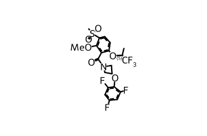 COc1c(S(C)(=O)=O)ccc(O[C@@H](C)C(F)(F)F)c1C(=O)N1CC(Oc2c(F)cc(F)cc2F)C1